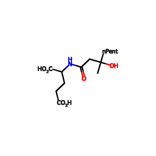 CCCCCC(C)(O)CC(=O)NC(CCC(=O)O)C(=O)O